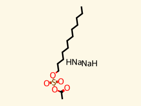 CCCCCCCCCCCCOS(=O)(=O)OC(C)=O.[NaH].[NaH]